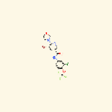 O=C(Nc1ccc(OC(F)(F)F)c(Cl)c1)c1cnc(N2CCOC2)c(Br)c1